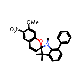 COc1cc2c(cc1[N+](=O)[O-])C=CC1(O2)N(C)c2c(-c3ccccc3)cccc2C1(C)C